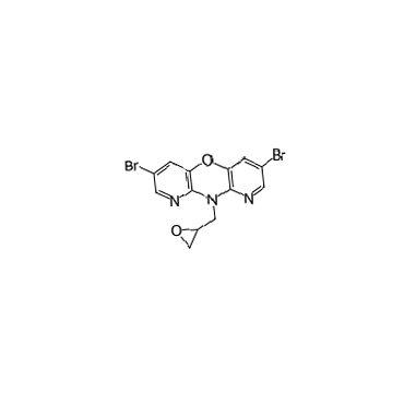 Brc1cnc2c(c1)Oc1cc(Br)cnc1N2CC1CO1